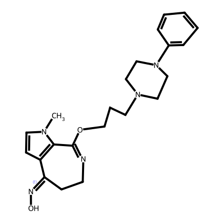 Cn1ccc2c1C(OCCCN1CCN(c3ccccc3)CC1)=NCC/C2=N\O